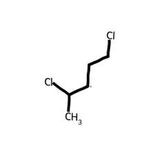 CC(Cl)[CH]CCCl